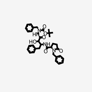 CC(C)(C)OC(=O)N(Cc1ccccc1)NC(=O)C(O)C(Cc1ccccc1)NC(=O)C1CCC(=O)N1Cc1ccccc1